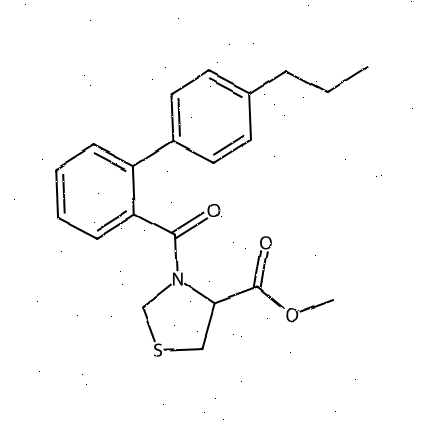 CCCc1ccc(-c2ccccc2C(=O)N2CSCC2C(=O)OC)cc1